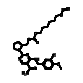 COc1ccc(CNc2nc(N3CCCC3COC(=O)OCCCCCCON=O)ncc2C(N)=O)cc1Cl